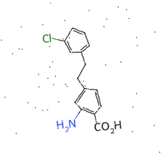 Nc1cc(CCc2cccc(Cl)c2)ccc1C(=O)O